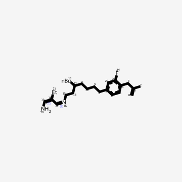 C=C(C)Cc1ccc(CCCCC(CCCC)CC/N=C\C(=C/N)CC)cc1F